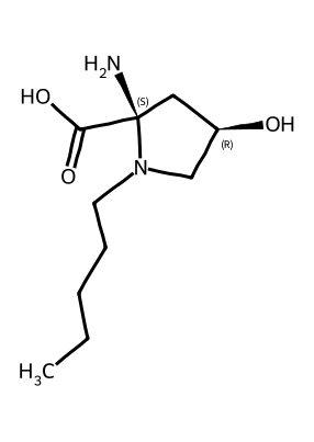 CCCCCN1C[C@H](O)C[C@@]1(N)C(=O)O